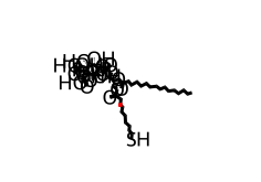 CCCCCCCCCCCCCCCC(=O)O[C@H](COC(=O)CCCCCCCCCS)COP(=O)(O)OC1C(O)[C@H](OP(=O)(O)O)C(OP(=O)(O)O)[C@H](O)[C@@H]1O